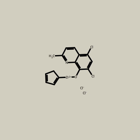 Cc1ccc2c(Cl)cc(Cl)c([O][Zr+2][C]3=CC=CC3)c2n1.[Cl-].[Cl-]